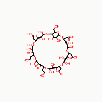 OCCC1OC2OC(CO)C(OC(O)/C(O)=C(\O)C(CCO)OC(O)C(O)C(O)C(CCO)OC(O)C(O)C(O)C(CCO)OC(O)/C(O)=C(\O)C(CCO)OC(O)/C(O)=C(\O)C(CCO)OC(O)/C(O)=C\1O)C(O)C2O